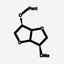 CCCC(C)O[C@H]1COC2C1OC[C@H]2OC